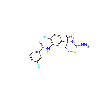 CC1(c2ccc(F)c(NC(=O)c3cccc(F)c3)c2)CCSC(N)=N1